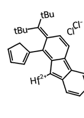 CC(C)(C)C(=c1ccc2c(c1C1=CC=CC1)[C]([Hf+2])=c1ccccc1=2)C(C)(C)C.[Cl-].[Cl-]